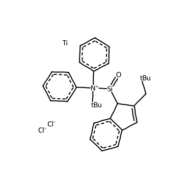 CC(C)(C)CC1=Cc2ccccc2C1[Si](=O)[N+](c1ccccc1)(c1ccccc1)C(C)(C)C.[Cl-].[Cl-].[Ti]